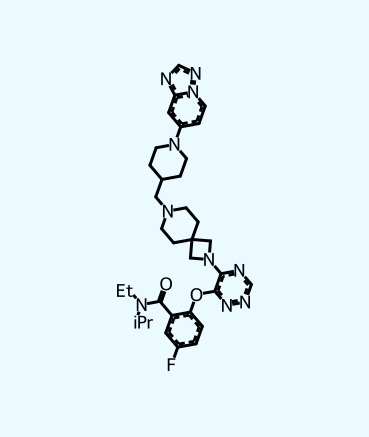 CCN(C(=O)c1cc(F)ccc1Oc1nncnc1N1CC2(CCN(CC3CCN(c4ccn5ncnc5c4)CC3)CC2)C1)C(C)C